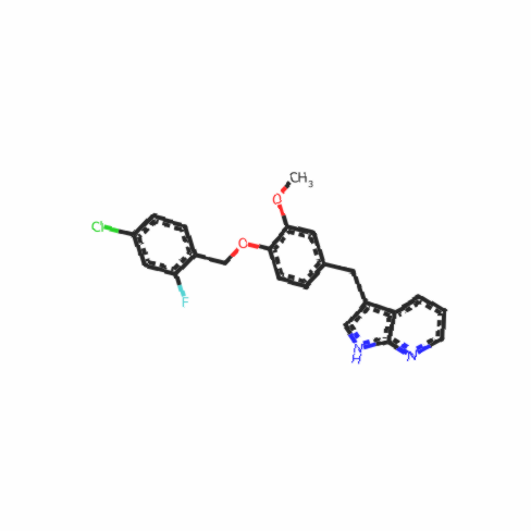 COc1cc(Cc2c[nH]c3ncccc23)ccc1OCc1ccc(Cl)cc1F